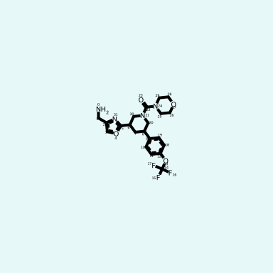 NCc1coc(C2CC(c3ccc(OC(F)(F)F)cc3)CN(C(=O)N3CCOCC3)C2)n1